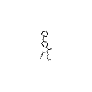 CC(C)CCC(N=C=S)C(=O)c1ccc(Oc2ccccc2)cc1